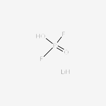 O=P(O)(F)F.[LiH]